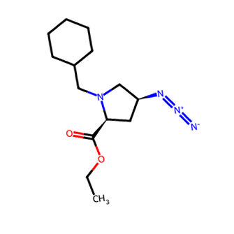 CCOC(=O)[C@@H]1C[C@H](N=[N+]=[N-])CN1CC1CCCCC1